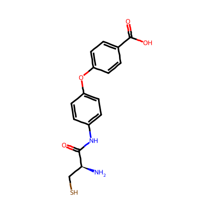 N[C@@H](CS)C(=O)Nc1ccc(Oc2ccc(C(=O)O)cc2)cc1